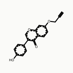 C#CCOc1ccc2c(=O)c(-c3ccc(O)cc3)coc2c1